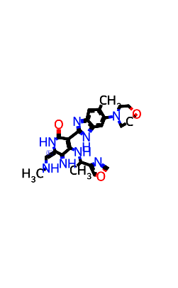 CN/C=C1/NC(=O)C(c2nc3cc(C)c(N4CCOCC4)cc3[nH]2)=C(NC(C)c2cocn2)C1=N